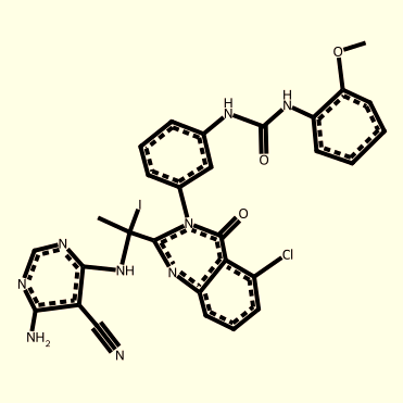 COc1ccccc1NC(=O)Nc1cccc(-n2c(C(C)(I)Nc3ncnc(N)c3C#N)nc3cccc(Cl)c3c2=O)c1